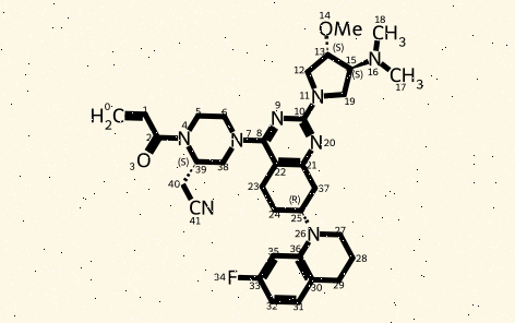 C=CC(=O)N1CCN(c2nc(N3C[C@H](OC)[C@@H](N(C)C)C3)nc3c2CC[C@@H](N2CCCc4ccc(F)cc42)C3)C[C@@H]1CC#N